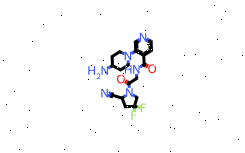 N#CC1CC(F)(F)CN1C(=O)CNC(=O)c1ccncc1N1CCC(N)CC1